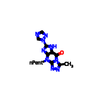 CCCCCn1c2nc(-n3cncn3)[nH]c2c(=O)n2c(C)nnc12